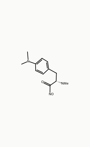 CN[C@@H](Cc1ccc(N(C)C)cc1)C(=O)N=O